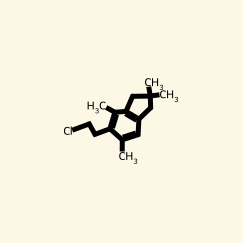 Cc1cc2c(c(C)c1CCCl)CC(C)(C)C2